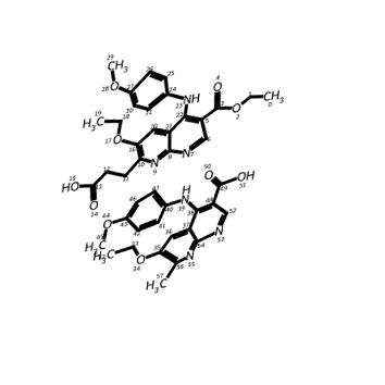 CCOC(=O)c1cnc2nc(CCC(=O)O)c(OCC)cc2c1Nc1ccc(OC)cc1.CCOc1cc2c(Nc3ccc(OC)cc3)c(C(=O)O)cnc2nc1C